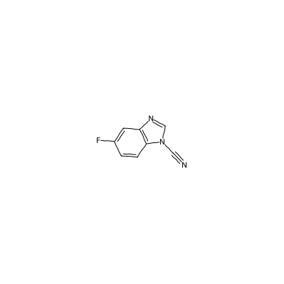 N#Cn1cnc2cc(F)ccc21